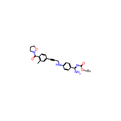 CCCCOC(=O)N=C(N)c1ccc(NCC#Cc2ccc(C(=O)N3CCCO3)c(C)c2)cc1